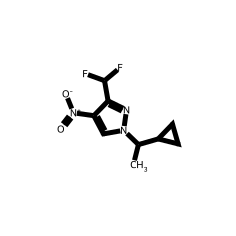 CC(C1CC1)n1cc([N+](=O)[O-])c(C(F)F)n1